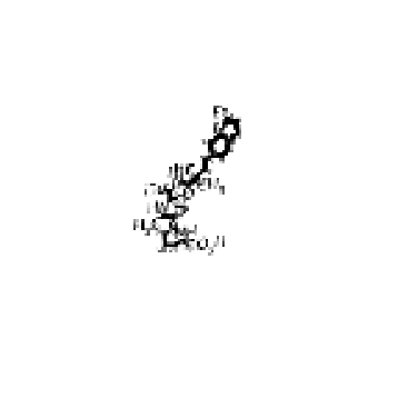 CCc1ccc2ccc(/C=C/C(C)(C)C(=O)NC(C(=O)NC(C)C(=O)N3CCCC(C(=O)O)N3)C(C)CC)cc2n1